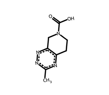 Cc1nnc2c(n1)CCN(C(=O)O)C2